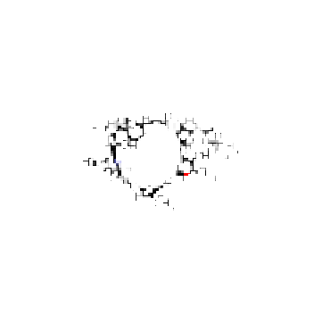 C=C1C[C@@H]2CCC(=O)/C=C/[C@H](O[Si](C)(C)C(C)(C)C)[C@@H]3O[C@H]4CC[C@H](CC(=O)C[C@@H]5[C@@H](C)[C@@H](C[C@H]6COC(C)(C)O6)O[C@H]5C[C@H]5O[C@@H](CC[C@@H]1O2)C[C@@H](C)C5=C)O[C@@H]4[C@H](C)[C@@H]3C